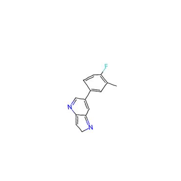 Cc1cc(-c2cnc3c(c2)=NCC=3)ccc1F